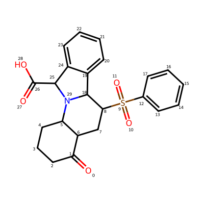 O=C1CCCC2C1CC(S(=O)(=O)c1ccccc1)C1c3ccccc3C(C(=O)O)N21